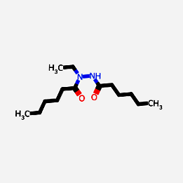 CCCCCC(=O)NN(CC)C(=O)CCCCC